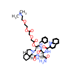 CN(C)CCOCCOC(=O)COCC(=O)O[C@H](CN1CC[C@H]2CCCC[C@H]2[C@H]1C(=O)NC(C)(C)C)[C@H](Cc1ccccc1)NC(=O)[C@H](CC(N)=O)NC(=O)c1ccc2ccccc2n1